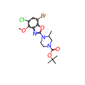 COc1c(Cl)cc(Br)c2oc(N3CCN(C(=O)OC(C)(C)C)CC3C)nc12